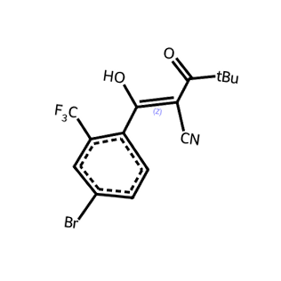 CC(C)(C)C(=O)/C(C#N)=C(\O)c1ccc(Br)cc1C(F)(F)F